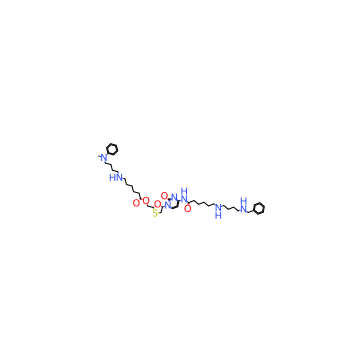 CN(CCCCNCCCCCC(=O)OCC1OC(n2ccc(NC(=O)CCCCCNCCCCNCc3ccccc3)nc2=O)CS1)c1ccccc1